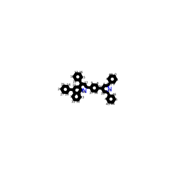 c1ccc(-c2cc(-c3ccc(-c4cc(-c5ccccc5)c5cc(-c6ccccc6)c6ccccc6c5n4)cc3)cc(-c3ccccc3)n2)cc1